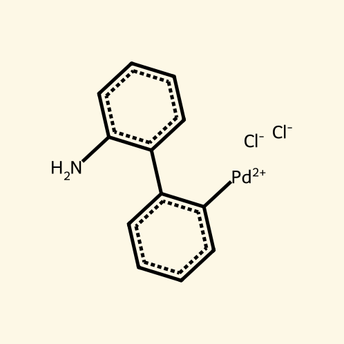 Nc1ccccc1-c1cccc[c]1[Pd+2].[Cl-].[Cl-]